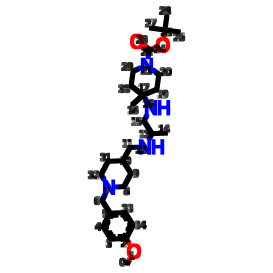 COc1ccc(CN2CCC(CNC(C)CNC3(C)CCN(C(=O)OC(C)(C)C)CC3)CC2)cc1